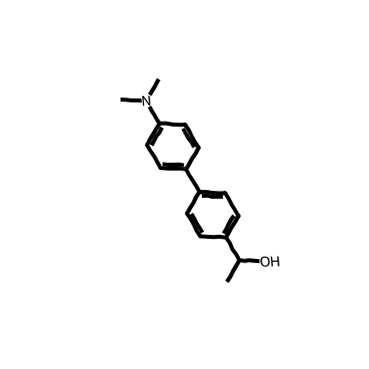 CC(O)c1ccc(-c2ccc(N(C)C)cc2)cc1